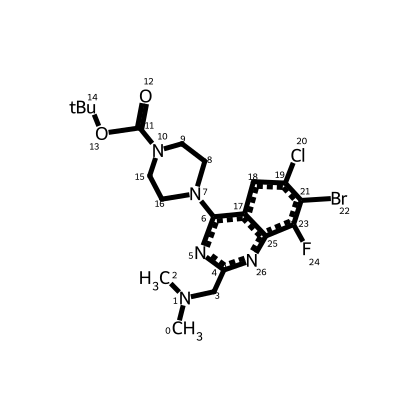 CN(C)Cc1nc(N2CCN(C(=O)OC(C)(C)C)CC2)c2cc(Cl)c(Br)c(F)c2n1